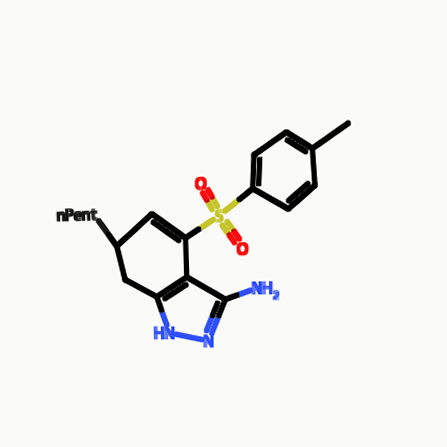 CCCCCC1C=C(S(=O)(=O)c2ccc(C)cc2)c2c(N)n[nH]c2C1